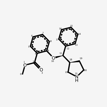 COC(=O)c1ccccc1O[C@@H](c1ccccc1)[C@H]1CCNC1